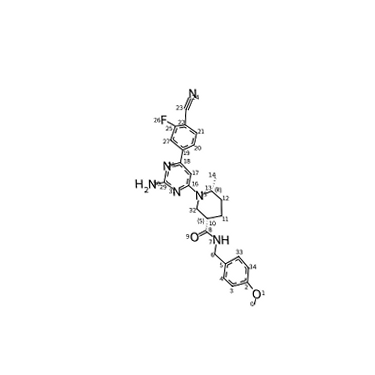 COc1ccc(CNC(=O)[C@H]2CC[C@@H](C)N(c3cc(-c4ccc(C#N)c(F)c4)nc(N)n3)C2)cc1